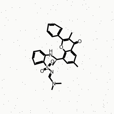 Cc1cc([C@@H](C)Nc2ccccc2S(=O)(=O)N=CN(C)C)c2oc(-c3ccccc3)c(C)c(=O)c2c1